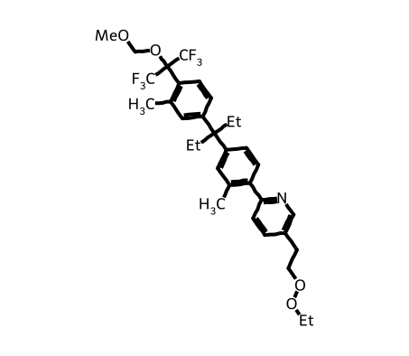 CCOOCCc1ccc(-c2ccc(C(CC)(CC)c3ccc(C(OCOC)(C(F)(F)F)C(F)(F)F)c(C)c3)cc2C)nc1